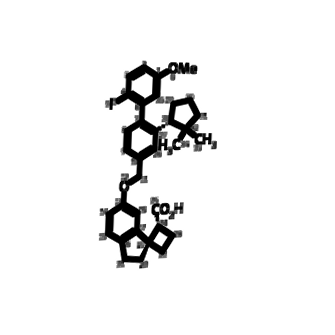 COc1ccc(F)c(-c2ccc(COc3ccc4c(c3)[C@@]3(CC4)CC[C@H]3C(=O)O)cc2[C@@H]2CCCC2(C)C)c1